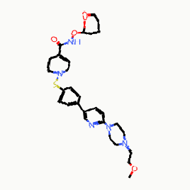 COCCN1CCN(c2ccc(-c3ccc(SN4CC=C(C(=O)NOC5CCCCO5)CC4)cc3)cn2)CC1